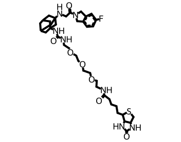 O=C(CCCCC1SCC2NC(=O)NC21)NCCOCCOCCOCCNC(=O)NC12CC3CC(CC(NCC(=O)N4Cc5ccc(F)cc5C4)(C3)C1)C2